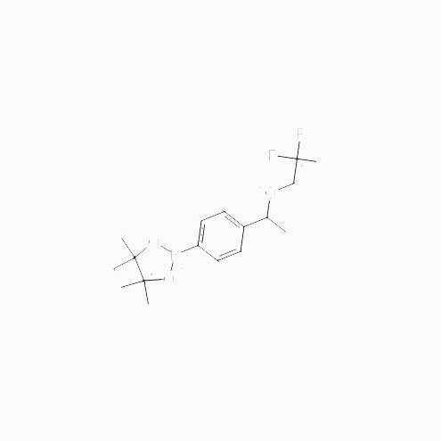 CC(OCC(F)(F)F)c1ccc(B2OC(C)(C)C(C)(C)O2)cc1